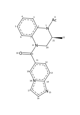 CC(=O)N1c2ccccc2N(C(=O)c2ccc3nccn3c2)C[C@@H]1C